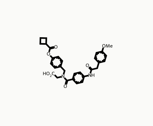 COc1ccc(CC(=O)Nc2ccc(C(=O)N(CC(=O)O)Cc3ccc(OC(=O)C4CCC4)cc3)cc2)cc1